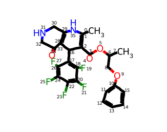 CC1=C(C(=O)OC(C)COc2ccccc2)C(c2c(F)c(F)c(F)c(F)c2F)C2=C(CNCC2=O)N1